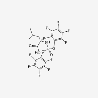 CC(C)C[C@H](NP(=O)(Oc1c(F)c(F)c(F)c(F)c1F)Oc1c(F)c(F)c(F)c(F)c1F)C(=O)O